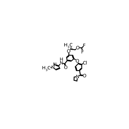 C[C@@H](COC(F)F)Oc1cc(Oc2ccc(C(=O)N3CCC3)cc2Cl)cc(C(=O)Nc2ccn(C)n2)c1